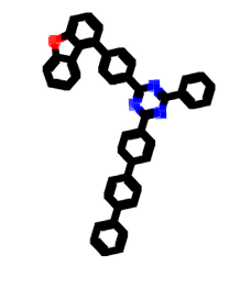 C1=CC(c2ccc(-c3ccccc3)cc2)CC=C1c1nc(-c2ccccc2)nc(-c2ccc(-c3cccc4oc5ccccc5c34)cc2)n1